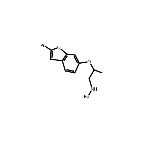 CC(CNC(C)(C)C)Oc1ccc2cc(C(C)C)oc2c1